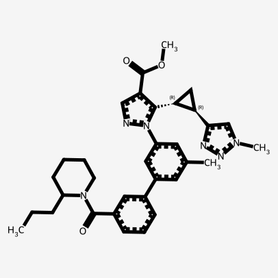 CCCC1CCCCN1C(=O)c1cccc(-c2cc(C)cc(-n3ncc(C(=O)OC)c3[C@@H]3C[C@H]3c3cn(C)nn3)c2)c1